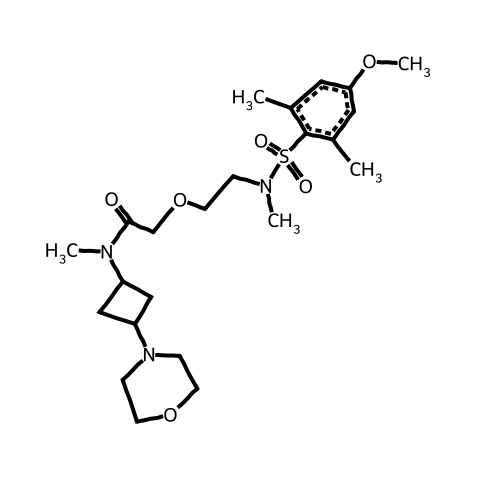 COc1cc(C)c(S(=O)(=O)N(C)CCOCC(=O)N(C)C2CC(N3CCOCC3)C2)c(C)c1